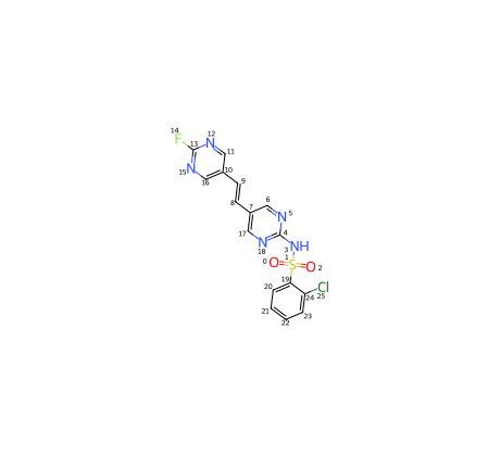 O=S(=O)(Nc1ncc(/C=C/c2cnc(F)nc2)cn1)c1ccccc1Cl